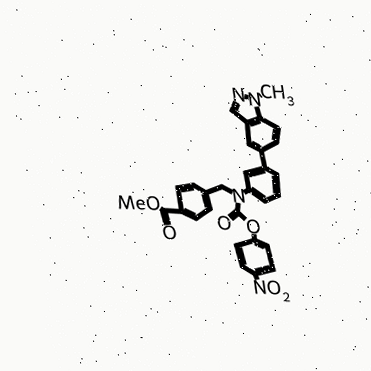 COC(=O)c1ccc(CN(C(=O)Oc2ccc([N+](=O)[O-])cc2)c2cccc(-c3ccc4c(cnn4C)c3)c2)cc1